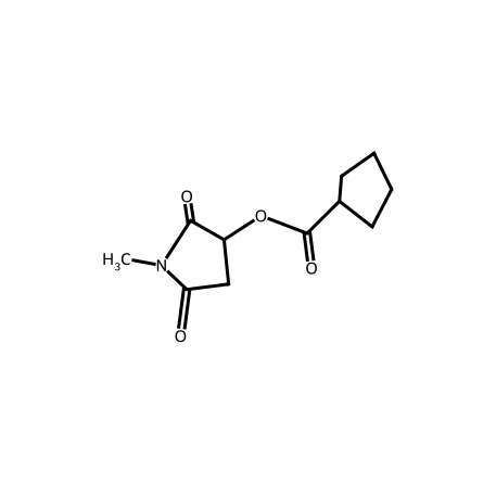 CN1C(=O)CC(OC(=O)C2CCCC2)C1=O